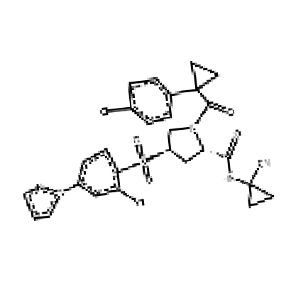 N#CC1(NC(=O)[C@@H]2C[C@@H](S(=O)(=O)c3ccc(-n4cccn4)cc3Cl)CN2C(=O)C2(c3ccc(Cl)cc3)CC2)CC1